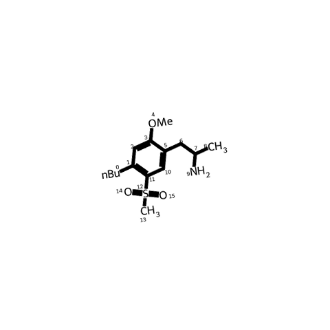 CCCCc1cc(OC)c(CC(C)N)cc1S(C)(=O)=O